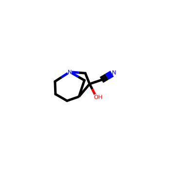 N#CC1(O)CN2CCCC1C2